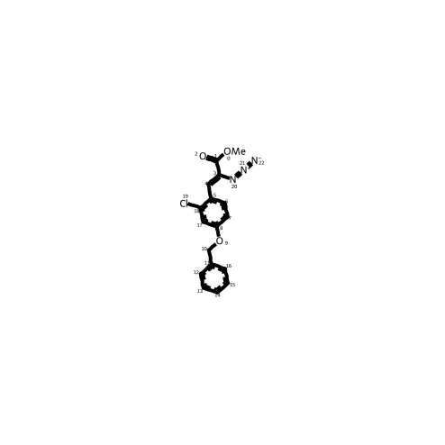 COC(=O)C(=Cc1ccc(OCc2ccccc2)cc1Cl)N=[N+]=[N-]